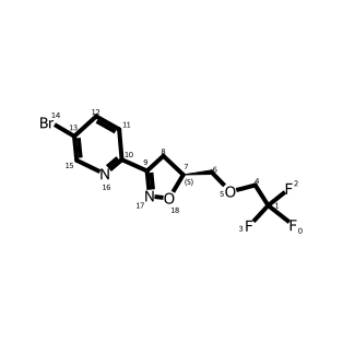 FC(F)(F)COC[C@@H]1CC(c2ccc(Br)cn2)=NO1